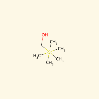 CS(C)(C)(C)(C)CO